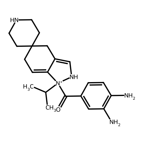 CC(C)[N+]1(C(=O)c2ccc(N)c(N)c2)NC=C2CC3(CC=C21)CCNCC3